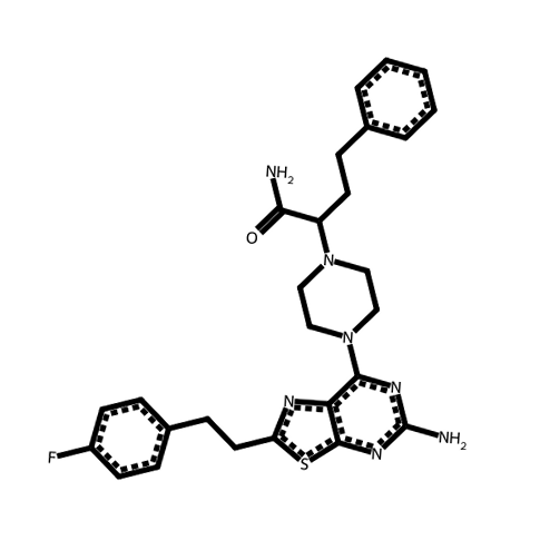 NC(=O)C(CCc1ccccc1)N1CCN(c2nc(N)nc3sc(CCc4ccc(F)cc4)nc23)CC1